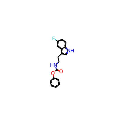 O=C(NCCc1c[nH]c2ccc(F)cc12)Oc1ccccc1